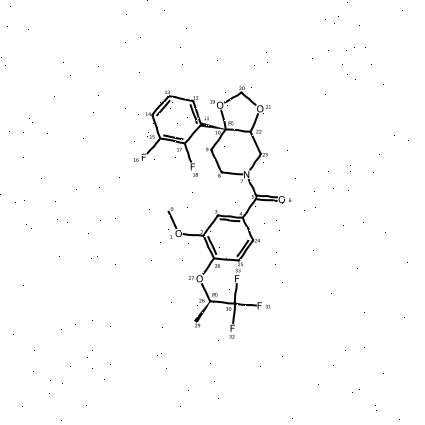 COc1cc(C(=O)N2CC[C@]3(c4cccc(F)c4F)OCOC3C2)ccc1O[C@H](C)C(F)(F)F